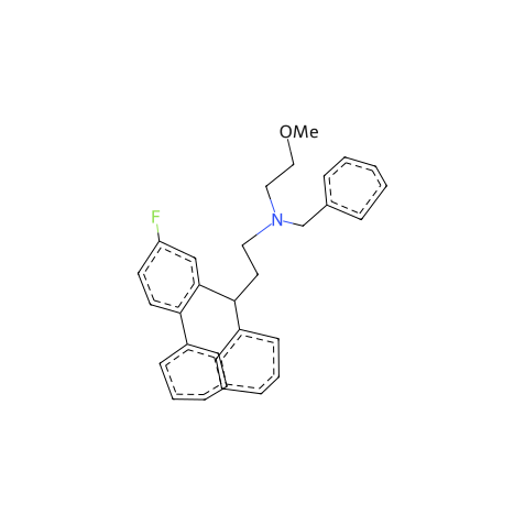 COCCN(CCC(c1ccccc1)c1cc(F)ccc1-c1ccccc1)Cc1ccccc1